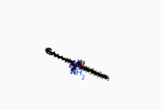 CCCCCCCCCCCCCCCC(=O)NC(CC)(CCCN)NC(=O)CCCCCCCCCCCCCCC